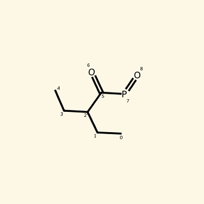 CC[C](CC)C(=O)P=O